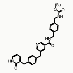 CC(C)(C)OC(=O)NCc1ccc(CNC(=O)c2cncc(Cc3ccc(Cc4ccc[nH]c4=O)cc3)c2)cc1